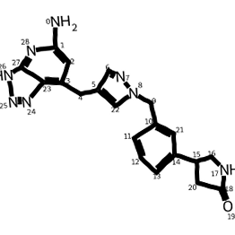 Nc1cc(Cc2cnn(Cc3cccc(C4CNC(=O)C4)c3)c2)c2nn[nH]c2n1